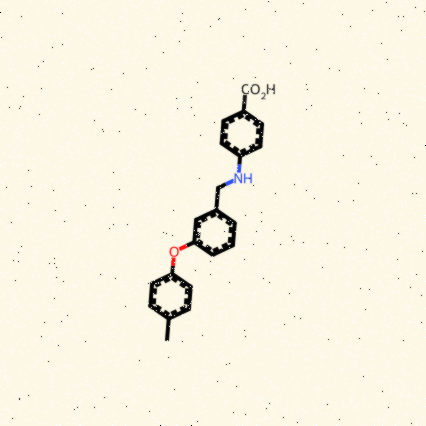 Cc1ccc(Oc2cccc(CNc3ccc(C(=O)O)cc3)c2)cc1